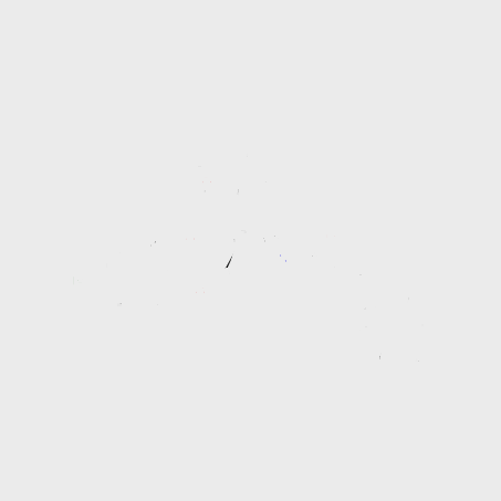 O=C(N[C@H]1CCC2(C[C@@H]1CS(=O)(=O)c1ccc(Br)cc1)OCCO2)OCc1ccccc1